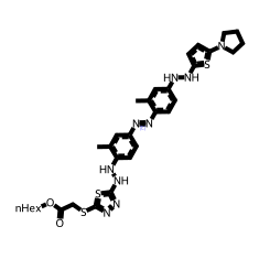 CCCCCCOC(=O)CSc1nnc(NNc2ccc(/N=N/c3ccc(NNc4ccc(N5CCCC5)s4)cc3C)cc2C)s1